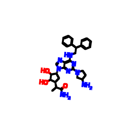 CC(C(N)=O)[C@@H]1C[C@@H](n2cnc3c(NCC(c4ccccc4)c4ccccc4)nc(N4CCC(N)C4)nc32)[C@H](O)[C@@H]1O